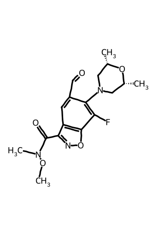 CON(C)C(=O)c1noc2c(F)c(N3C[C@@H](C)O[C@@H](C)C3)c(C=O)cc12